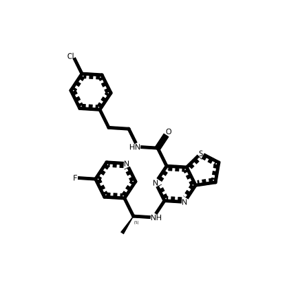 C[C@H](Nc1nc(C(=O)NCCc2ccc(Cl)cc2)c2sccc2n1)c1cncc(F)c1